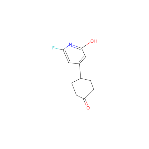 O=C1CCC(c2cc(O)nc(F)c2)CC1